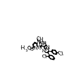 COc1ccc(N(C)NC(=O)c2cnn3c(-c4ccc(Cl)cc4)c(-c4ccccc4Cl)cnc23)cn1